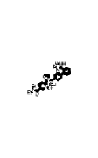 CCCCC1(c2nccn2Cc2ccc(-c3ccccc3-c3nnn[nH]3)cc2)C=CC(C(=O)N(CC)CC)=CN1O